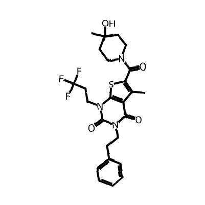 Cc1c(C(=O)N2CCC(C)(O)CC2)sc2c1c(=O)n(CCc1ccccc1)c(=O)n2CCC(F)(F)F